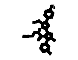 COCCN(C)C(=O)c1c(-c2cccc(F)c2)c(C)nn1-c1nc(-c2ccc(C(F)(F)F)cc2)c(SC(C)C)s1